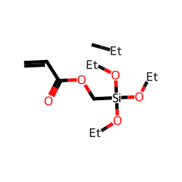 C=CC(=O)OC[Si](OCC)(OCC)OCC.CCC